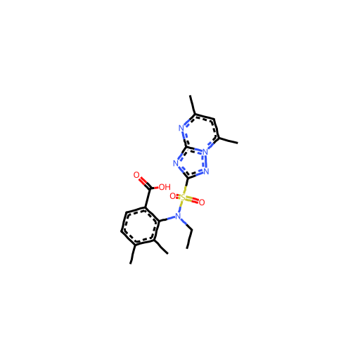 CCN(c1c(C(=O)O)ccc(C)c1C)S(=O)(=O)c1nc2nc(C)cc(C)n2n1